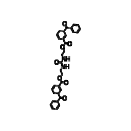 O=C(NCCOC(=O)C1=CC(C(=O)c2ccccc2)CC=C1)NCCOC(=O)c1cccc(C(=O)c2ccccc2)c1